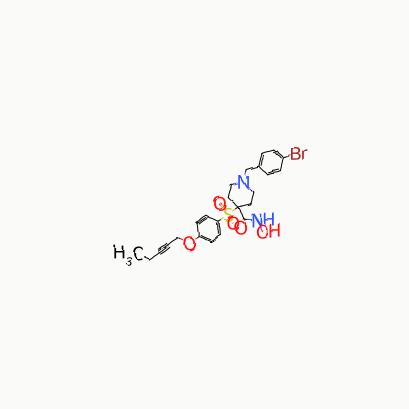 CCC#CCOc1ccc(S(=O)(=O)C2(C(=O)NO)CCN(Cc3ccc(Br)cc3)CC2)cc1